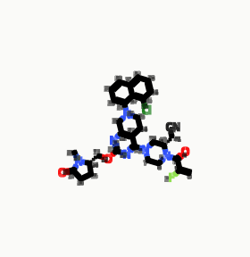 C=C(F)C(=O)N1CCN(c2nc(OC[C@@H]3CCC(=O)N3C)nc3c2CCN(c2cccc4cccc(Cl)c24)C3)C[C@@H]1CC#N